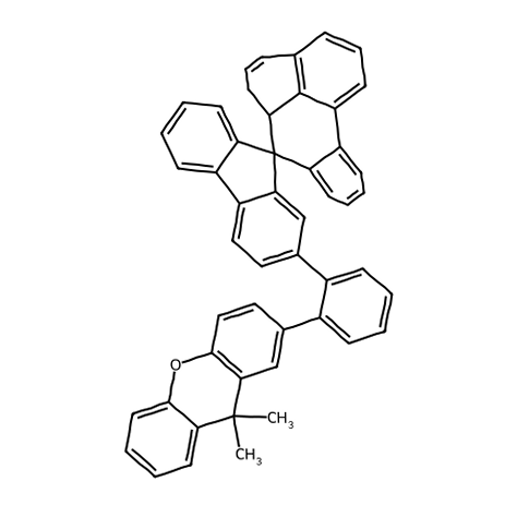 CC1(C)c2ccccc2Oc2ccc(-c3ccccc3-c3ccc4c(c3)C3(c5ccccc5-4)c4ccccc4-c4cccc5c4C3CC=C5)cc21